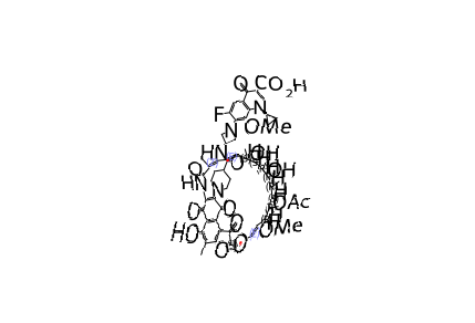 COc1c(N2CC(NC(=O)C3CCN(C4=C5NC(=O)/C(C)=C\C=C\[C@H](C)[C@H](O)[C@@H](C)[C@@H](O)[C@@H](C)[C@H](OC(C)=O)[C@H](C)[C@@H](OC)/C=C/O[C@@]6(C)Oc7c(C)c(O)c(c(c7C6=O)C4=O)C5=O)CC3)C2)c(F)cc2c(=O)c(C(=O)O)cn(C3CC3)c12